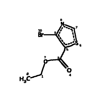 CCOC(=O)c1scnc1Br